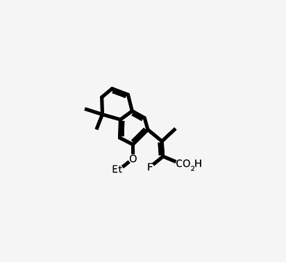 CCOc1cc2c(cc1C(C)=C(F)C(=O)O)C=CCC2(C)C